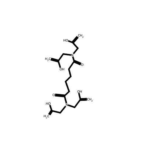 C=C(O)CN(CC(=C)O)C(=O)CCCCC(=O)N(CC(=C)O)CC(=C)O